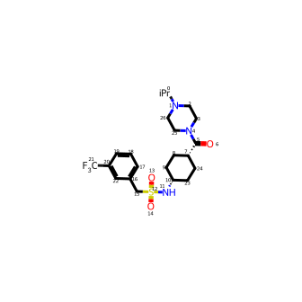 CC(C)N1CCN(C(=O)[C@H]2CC[C@@H](NS(=O)(=O)Cc3cccc(C(F)(F)F)c3)CC2)CC1